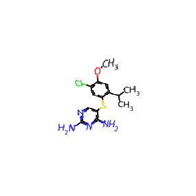 COc1cc(C(C)C)c(Sc2cnc(N)nc2N)cc1Cl